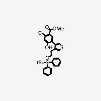 COC(=O)c1cc(-c2cscc2CCO[Si](c2ccccc2)(c2ccccc2)C(C)(C)C)c(O)cc1Cl